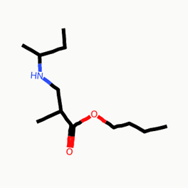 CCCCOC(=O)C(C)CNC(C)CC